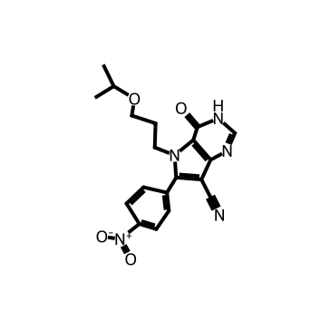 CC(C)OCCCn1c(-c2ccc([N+](=O)[O-])cc2)c(C#N)c2nc[nH]c(=O)c21